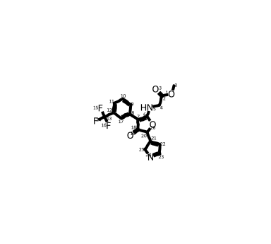 COC(=O)CNC1=C(c2cccc(C(F)(F)F)c2)C(=O)C(C2=CC=NC2)O1